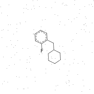 Fc1c[c]ccc1CC1CCCCC1